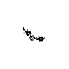 CCOC(=O)C1(F)CCN(c2ncnc(OCc3ccc(F)cc3)n2)CC1